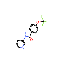 O=C(Nc1cccnc1)c1ccc(OC(F)(F)F)cc1